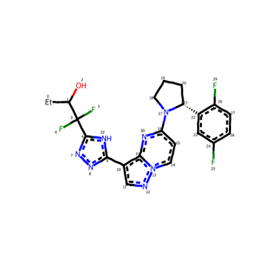 CCC(O)C(F)(F)c1nnc(-c2cnn3ccc(N4CCC[C@@H]4c4cc(F)ccc4F)nc23)[nH]1